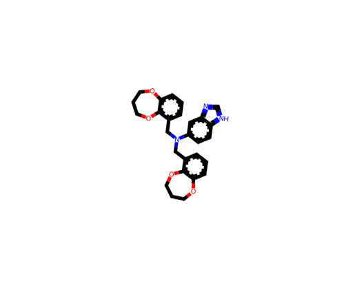 c1cc(CN(Cc2cccc3c2OCCCO3)c2ccc3[nH]cnc3c2)c2c(c1)OCCCO2